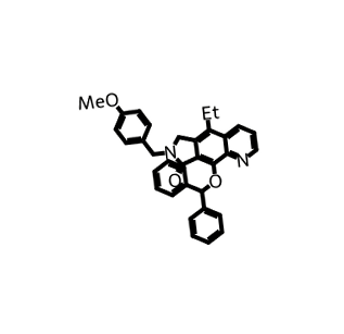 CCc1c2c(c(OC(c3ccccc3)c3ccccc3)c3ncccc13)C(=O)N(Cc1ccc(OC)cc1)C2